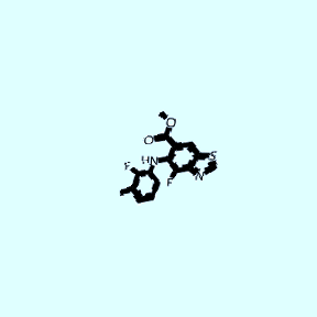 COC(=O)c1cc2scnc2c(F)c1Nc1cccc(C)c1F